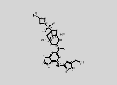 CN(c1nc(Nc2cc(CO)[nH]n2)c2ncsc2n1)[C@H]1C[C@@H]2CC3(S(=O)(=O)N4CC(C#N)C4)C[C@H](C1)N23